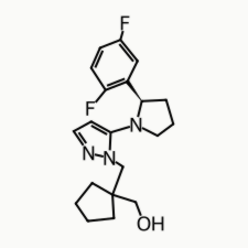 OCC1(Cn2nccc2N2CCC[C@@H]2c2cc(F)ccc2F)CCCC1